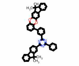 CC1(C)c2ccccc2-c2ccc(-c3nc(-c4ccccc4)nc(-c4cccc(-c5cccc6c5Oc5cc7c(cc5O6)C(C)(C)c5ccccc5-7)c4)n3)cc21